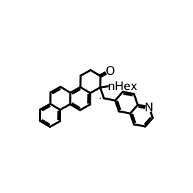 CCCCCCC1([CH]c2ccc3ncccc3c2)C(=O)CCc2c1ccc1c2ccc2ccccc21